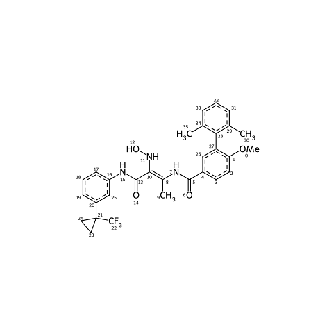 COc1ccc(C(=O)N/C(C)=C(\NO)C(=O)Nc2cccc(C3(C(F)(F)F)CC3)c2)cc1-c1c(C)cccc1C